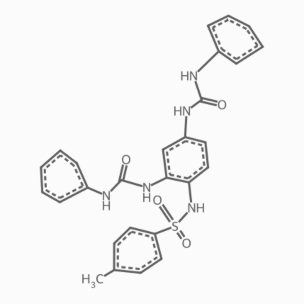 Cc1ccc(S(=O)(=O)Nc2ccc(NC(=O)Nc3ccccc3)cc2NC(=O)Nc2ccccc2)cc1